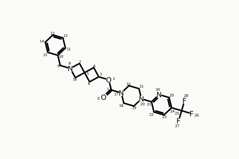 O=C(OC1CC2(C1)CN(Cc1ccccc1)C2)N1CCN(c2ccc(C(F)(F)F)cn2)CC1